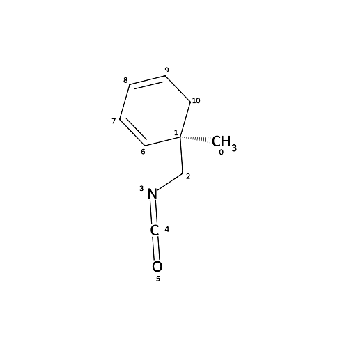 C[C@]1(CN=C=O)C=CC=CC1